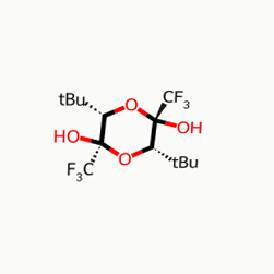 CC(C)(C)[C@@H]1O[C@@](O)(C(F)(F)F)[C@H](C(C)(C)C)O[C@]1(O)C(F)(F)F